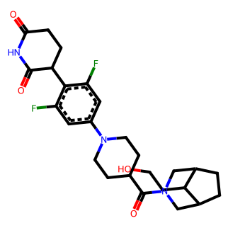 O=C1CCC(c2c(F)cc(N3CCC(C(=O)N4CC5CCC(C4)C5CCO)CC3)cc2F)C(=O)N1